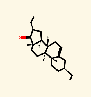 CC[C@H]1CC[C@@]2(C)C(=CC[C@@H]3[C@@H]2CC[C@]2(C)C(=O)[C@@H](CC)C[C@@H]32)C1